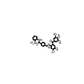 COc1cc(NCc2ccc(C(=O)Nc3ccccc3N)cc2)c(C(=O)c2cc(OC)c(OC)c(OC)c2)cc1OC